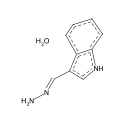 NN=Cc1c[nH]c2ccccc12.O